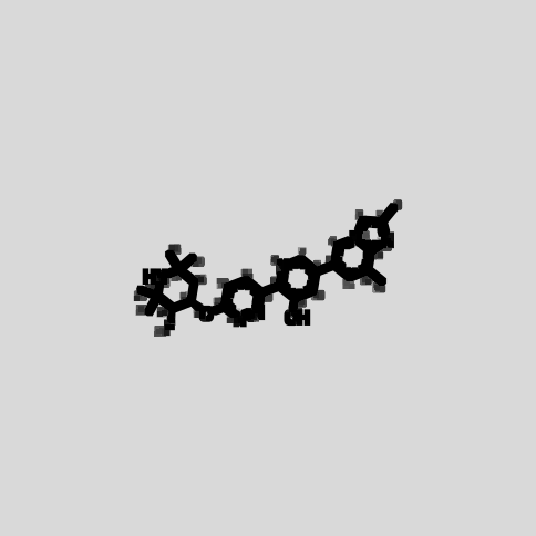 Cc1cn2cc(-c3cnc(-c4ccc(O[C@@H]5CC(C)(C)NC(C)(C)[C@@H]5F)nn4)c(O)c3)cc(C)c2n1